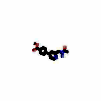 COC(=O)c1ccc(-c2ccnc(CNC(C)=O)c2)cc1